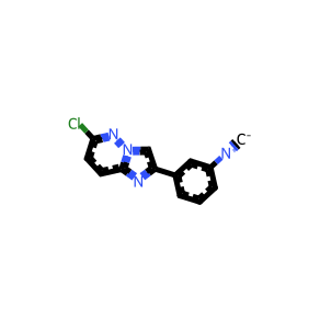 [C-]#[N+]c1cccc(-c2cn3nc(Cl)ccc3n2)c1